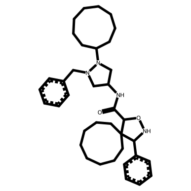 O=C(NC1CN(Cc2ccccc2)N(C2CCCCCCCC2)C1)C1ONC(c2ccccc2)C12CCCCCCCC2